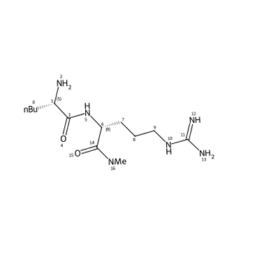 CCCC[C@H](N)C(=O)N[C@H](CCCNC(=N)N)C(=O)NC